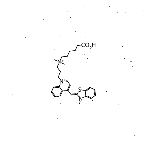 CN1/C(=C/c2cc[n+](CCC[N+](C)(C)CCCCCC(=O)O)c3ccccc23)Sc2ccccc21